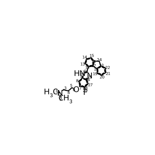 CN(C)CCCOc1cc2[nH]c(-c3cccc4c3-c3ccccc3C4)nc2cc1F